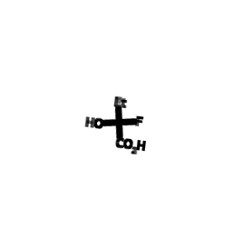 CCC(O)(F)C(=O)O